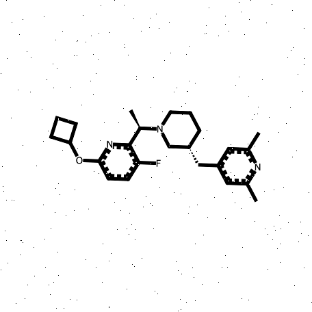 Cc1cc(C[C@H]2CCCN([C@H](C)c3nc(OC4CCC4)ccc3F)C2)cc(C)n1